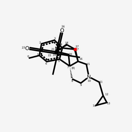 Cc1ccc2c(c1)[C@]13CCN(CC4CC4)CC1(CC[C@]1(C3)NC(=O)CC1=O)C2